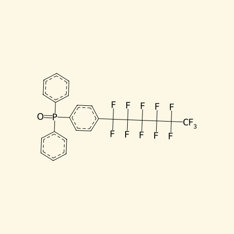 O=P(c1ccccc1)(c1ccccc1)c1ccc(C(F)(F)C(F)(F)C(F)(F)C(F)(F)C(F)(F)C(F)(F)F)cc1